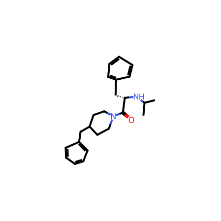 CC(C)N[C@@H](Cc1ccccc1)C(=O)N1CCC(Cc2ccccc2)CC1